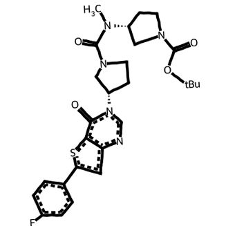 CN(C(=O)N1CC[C@H](n2cnc3cc(-c4ccc(F)cc4)sc3c2=O)C1)[C@@H]1CCN(C(=O)OC(C)(C)C)C1